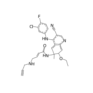 C#CCNC/C=C/C(=O)NC1(C)C=c2c(Nc3ccc(F)c(Cl)c3)c(C#N)cnc2=CC1OCC